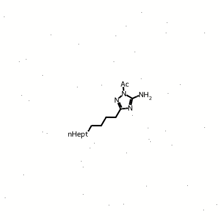 CCCCCCCCCCCc1nc(N)n(C(C)=O)n1